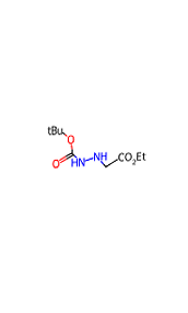 CCOC(=O)CNNC(=O)OC(C)(C)C